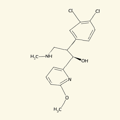 CNCC(c1ccc(Cl)c(Cl)c1)[C@@H](O)c1cccc(OC)n1